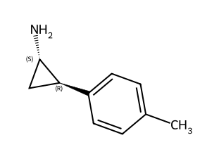 Cc1ccc([C@H]2C[C@@H]2N)cc1